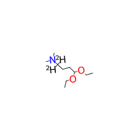 [2H]C([2H])(CCC(OCC)OCC)N(C)C